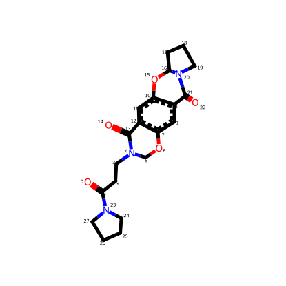 O=C(CCN1COc2cc3c(cc2C1=O)OC1CCCN1C3=O)N1CCCC1